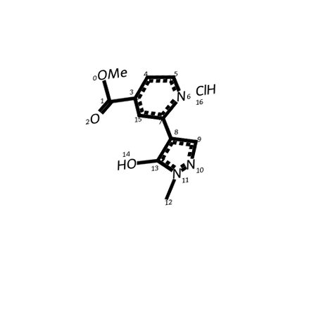 COC(=O)c1ccnc(-c2cnn(C)c2O)c1.Cl